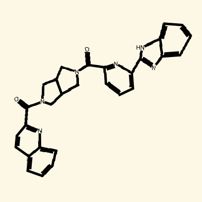 O=C(c1cccc(-c2nc3ccccc3[nH]2)n1)N1CC2CN(C(=O)c3ccc4ccccc4n3)CC2C1